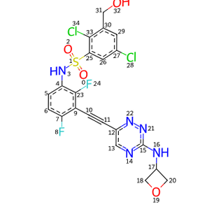 O=S(=O)(Nc1ccc(F)c(C#Cc2cnc(NC3COC3)nn2)c1F)c1cc(Cl)cc(CO)c1Cl